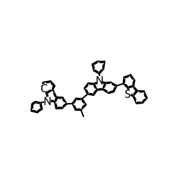 Cc1cc(-c2ccc3c(c2)c2ccccc2n3-c2ccccc2)cc(-c2ccc3c(c2)c2ccc(-c4cccc5c4sc4ccccc45)cc2n3-c2ccccc2)c1